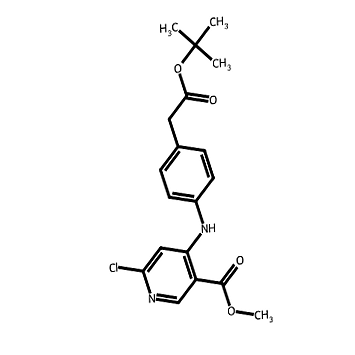 COC(=O)c1cnc(Cl)cc1Nc1ccc(CC(=O)OC(C)(C)C)cc1